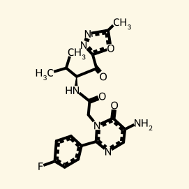 Cc1nnc(C(=O)[C@@H](NC(=O)Cn2c(-c3ccc(F)cc3)ncc(N)c2=O)C(C)C)o1